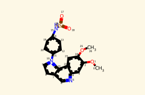 COc1cc2ncc3ccn(-c4ccc(N[SH](=O)=O)cc4)c3c2cc1OC